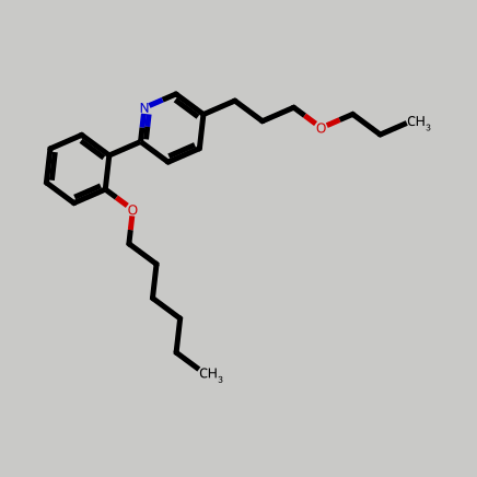 CCCCCCOc1ccccc1-c1ccc(CCCOCCC)cn1